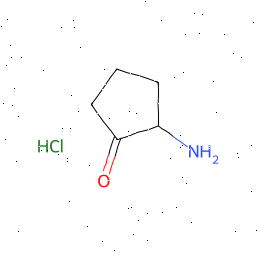 Cl.NC1CCCC1=O